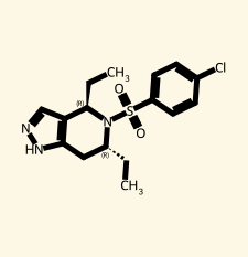 CC[C@@H]1Cc2[nH]ncc2[C@@H](CC)N1S(=O)(=O)c1ccc(Cl)cc1